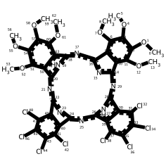 COc1c(OC)c(OC)c2c(c1OC)-c1nc-2nc2[nH]c(nc3nc(nc4[nH]c(n1)c1c(Cl)c(Cl)c(Cl)c(Cl)c41)-c1c(Cl)c(Cl)c(Cl)c(Cl)c1-3)c1c(OC)c(OC)c(OC)c(OC)c21